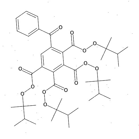 CC(C)C(C)(C)OOC(=O)c1cc(C(=O)c2ccccc2)c(C(=O)OOC(C)(C)C(C)C)c(C(=O)OOC(C)(C)C(C)C)c1C(=O)OOC(C)(C)C(C)C